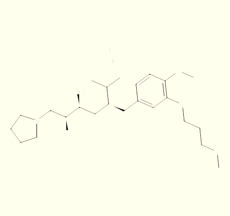 COCCCOc1cc(C[C@@H](C[C@H](N)[C@@H](O)CN2CCCC2)C(C)C)ccc1OC.Cl.Cl